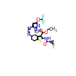 CCOC(=O)c1c(NC(=O)[C@H]2C[C@@H]2F)sc2c1C[C@@H](N=C=Nc1cc(OC(F)F)nn1C)CC2